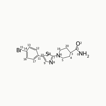 NC(=O)C1CCN(c2ncc(-c3ccc(Br)cc3)s2)CC1